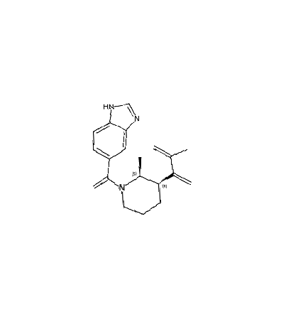 C=C(C)C(=C)[C@H]1CCCN(C(=C)c2ccc3[nH]cnc3c2)[C@H]1C